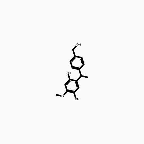 COc1cc(O)c(C(C)c2ccc(CO)cc2)cc1O